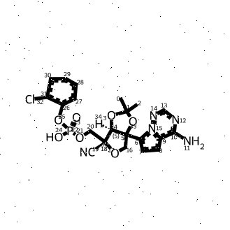 CC1(C)O[C@H]2C(c3ccc4c(N)ncnn34)(CO[C@]2(C#N)COP(=O)(O)Oc2ccccc2Cl)O1